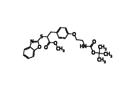 COC(=O)C(Cc1ccc(OCCNC(=O)OC(C)(C)C)cc1)Sc1nc2ccccc2o1